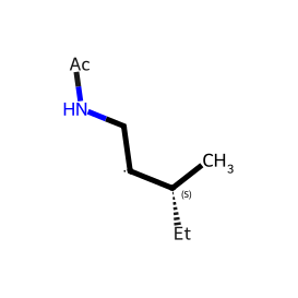 CC[C@@H](C)[CH]CNC(C)=O